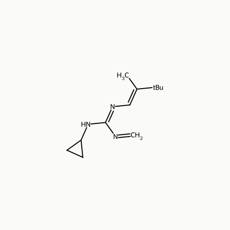 C=N/C(=N\C=C(/C)C(C)(C)C)NC1CC1